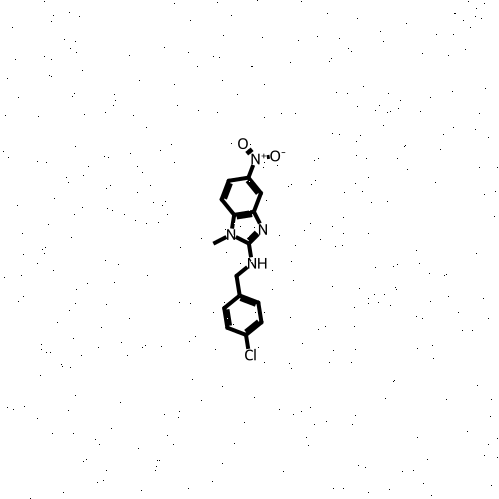 Cn1c(NCc2ccc(Cl)cc2)nc2cc([N+](=O)[O-])ccc21